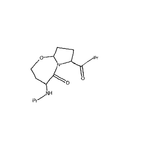 CC(C)NC1CCOC2CCC(C(=O)C(C)C)N2C1=O